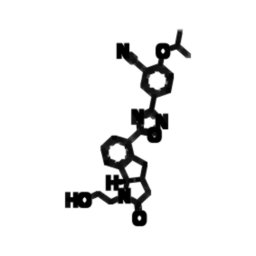 CC(C)Oc1ccc(-c2noc(-c3cccc4c3CC3CC(=O)N(CCO)[C@H]43)n2)cc1C#N